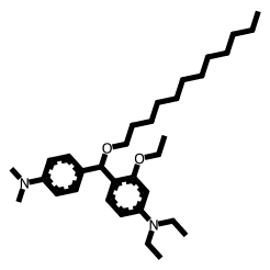 CCCCCCCCCCCCOC(c1ccc(N(C)C)cc1)c1ccc(N(CC)CC)cc1OCC